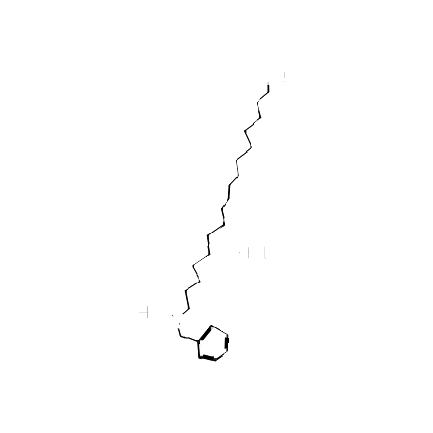 CCCCCCCCCCCCCCCCCCN(C)Cc1ccccc1.Cl